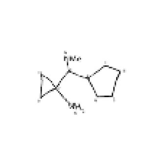 CNC(C1CCCC1)C1(N)CC1